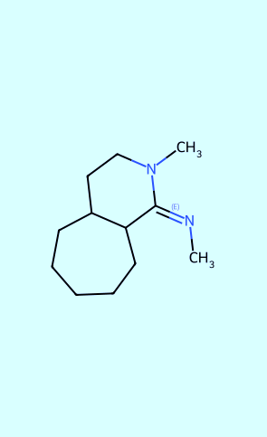 C/N=C1\C2CCCCCC2CCN1C